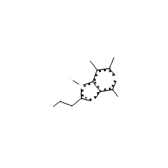 Cc1nc(Cl)c2nc(CCO)n(N)c2c1C